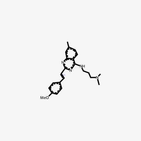 COc1ccc(/C=C/c2nc(NCCCN(C)C)c3ccc(C)cc3n2)cc1